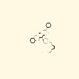 NC(=O)c1ccc(CN2CCC3(CC2)OCc2c3c(=O)n(C[C@H](N)c3ccccc3)c(=O)n2Cc2c(F)cccc2C(F)(F)F)o1